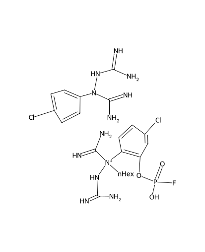 CCCCCC[N+](NC(=N)N)(C(=N)N)c1ccc(Cl)cc1OP(=O)(O)F.N=C(N)NN(C(=N)N)c1ccc(Cl)cc1